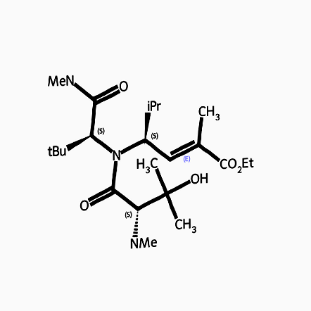 CCOC(=O)/C(C)=C/[C@H](C(C)C)N(C(=O)[C@@H](NC)C(C)(C)O)[C@H](C(=O)NC)C(C)(C)C